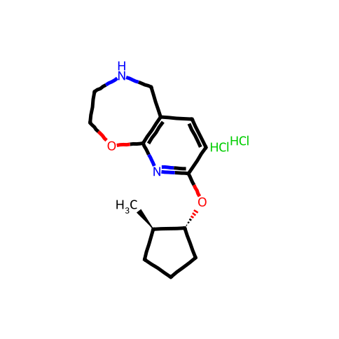 C[C@@H]1CCC[C@H]1Oc1ccc2c(n1)OCCNC2.Cl.Cl